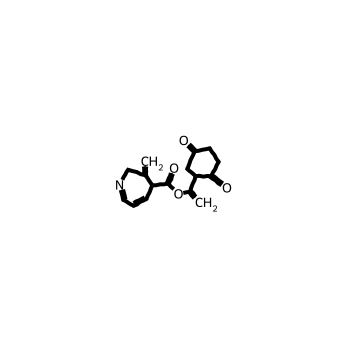 C=C1CN=CC=CC1C(=O)OC(=C)C1CC(=O)CCC1=O